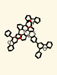 c1ccc(-c2cccc(-c3ccccc3)c2N2c3cc(-c4cc(-c5ccccc5)c5oc6ccccc6c5c4)ccc3B3c4ccc(-c5cc(-c6ccccc6)c6oc7ccccc7c6c5)cc4Sc4cc(-n5c6ccccc6c6ccccc65)cc2c43)cc1